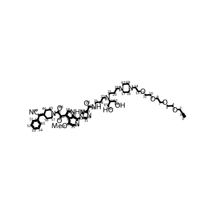 C#CCOCCOCCOCCOCCN1CCN(CCCN(CCCNC(=O)c2ncn(-c3ncc(OC)c4c(C(=O)C(=O)N5CCC(=C(C#N)c6ccccc6)CC5)c[nH]c34)n2)C(CO)CO)CC1